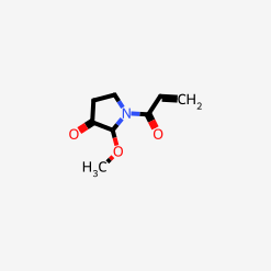 C=CC(=O)N1CCC(=O)C1OC